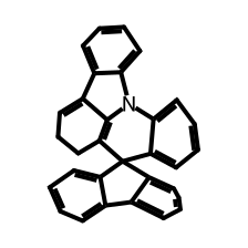 C1=c2c3n(c4ccccc24)-c2ccccc2C2(C=3CC1)c1ccccc1-c1ccccc12